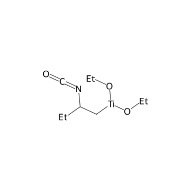 CC[O][Ti]([CH2]C(CC)N=C=O)[O]CC